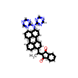 CC(=C1C(=O)c2ccccc2C1=O)c1ccc2c3ccc(N(c4ncncn4)c4ncncn4)c4cccc(c5cccc1c52)c43